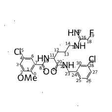 COc1ccc(Cl)cc1C(=O)NC(CCCNC(=N)CF)C(=O)NCc1cccc(Cl)c1